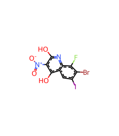 O=[N+]([O-])c1c(O)nc2c(F)c(Br)c(I)cc2c1O